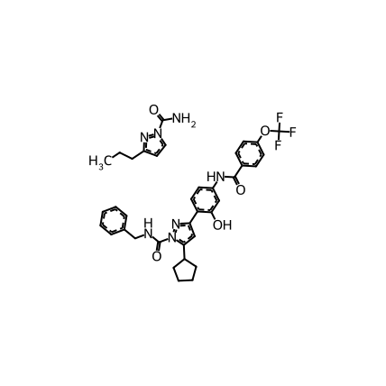 CCCc1ccn(C(N)=O)n1.O=C(Nc1ccc(-c2cc(C3CCCC3)n(C(=O)NCc3ccccc3)n2)c(O)c1)c1ccc(OC(F)(F)F)cc1